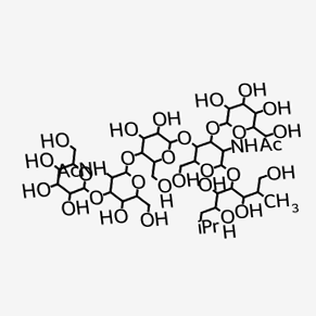 CC(=O)NC1C(OC2C(CO)OC(OC3C(CO)OC(OC(C(O)C(C)CO)C(O)C(O)CC(C)C)C(NC(C)=O)C3OC3OC(CO)C(O)C(O)C3O)C(O)C2O)OC(CO)C(O)C1OC1OC(CO)C(O)C(O)C1O